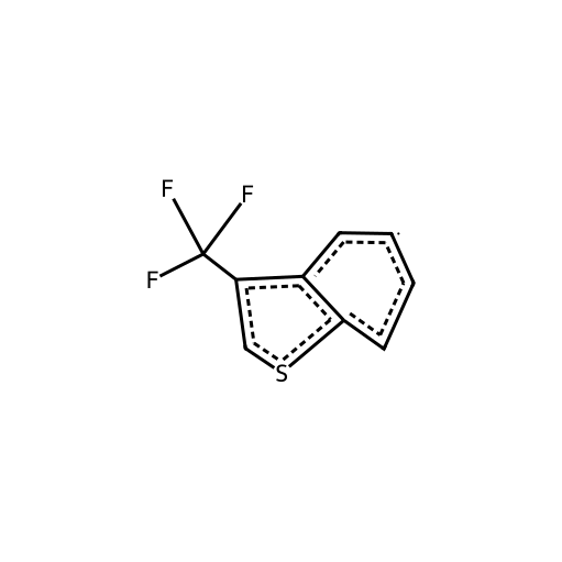 FC(F)(F)c1csc2cc[c]cc12